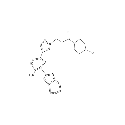 Nc1ncc(-c2cnn(CCC(=O)N3CCC(O)CC3)c2)cc1-c1nc2ccccc2s1